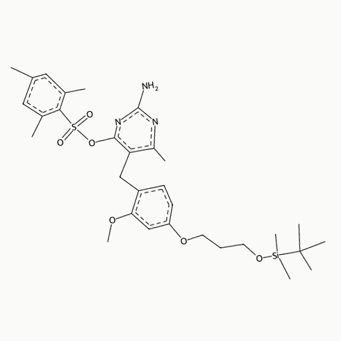 COc1cc(OCCCO[Si](C)(C)C(C)(C)C)ccc1Cc1c(C)nc(N)nc1OS(=O)(=O)c1c(C)cc(C)cc1C